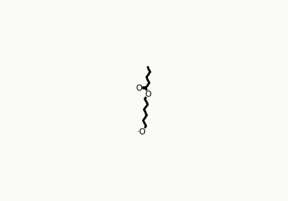 CCCCC(=O)OCCCCCC[O]